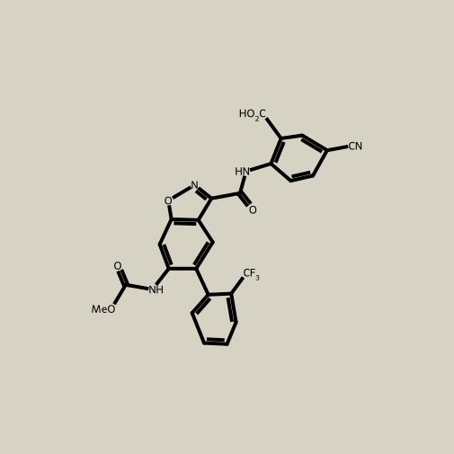 COC(=O)Nc1cc2onc(C(=O)Nc3ccc(C#N)cc3C(=O)O)c2cc1-c1ccccc1C(F)(F)F